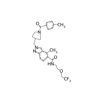 Cc1ccc(C(=O)N2CCC(Cn3cc4c(C)c(C(=O)NCCOCC(F)(F)F)ccc4n3)CC2)cc1